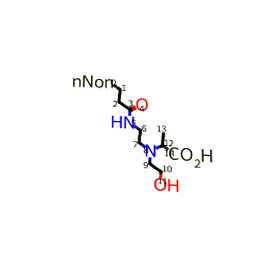 CCCCCCCCCCCC(=O)NCCN(CCO)C(C)C(=O)O